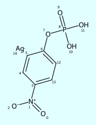 O=[N+]([O-])c1ccc(OP(=O)(O)O)cc1.[Ag]